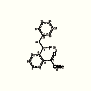 COC(=O)c1ccccc1C(F)Cc1ccccc1